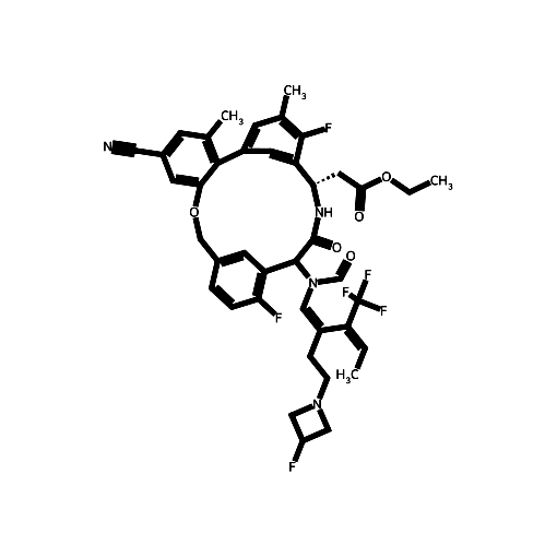 C/C=C(\C(=C/N(C=O)C1C(=O)N[C@@H](CC(=O)OCC)c2cc(cc(C)c2F)-c2c(C)cc(C#N)cc2OCc2ccc(F)c1c2)CCN1CC(F)C1)C(F)(F)F